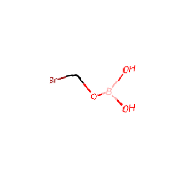 OB(O)OCBr